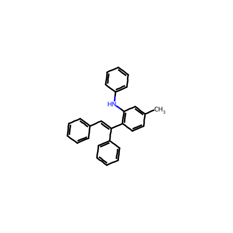 Cc1ccc(C(=Cc2ccccc2)c2ccccc2)c(Nc2ccccc2)c1